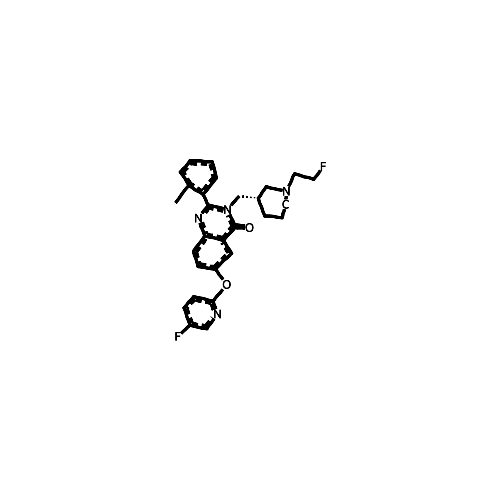 Cc1ccccc1-c1nc2ccc(Oc3ccc(F)cn3)cc2c(=O)n1C[C@H]1CCCN(CCF)C1